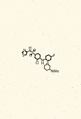 CNC1CCCN(c2cc(F)ccc2Nc2ccc(S(=O)(=O)Nc3cscn3)cc2Cl)C1